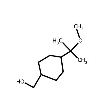 COC(C)(C)C1CCC(CO)CC1